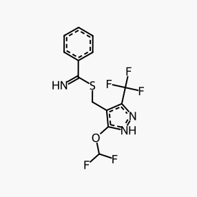 N=C(SCc1c(C(F)(F)F)n[nH]c1OC(F)F)c1ccccc1